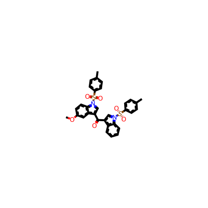 COc1ccc2c(c1)c(C(=O)c1cn(S(=O)(=O)c3ccc(C)cc3)c3ccccc13)cn2S(=O)(=O)c1ccc(C)cc1